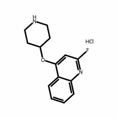 Cl.Fc1cc(OC2CCNCC2)c2ccccc2n1